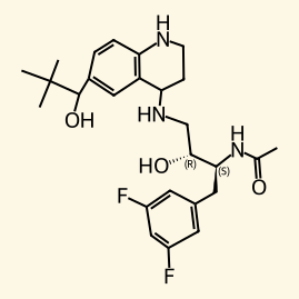 CC(=O)N[C@@H](Cc1cc(F)cc(F)c1)[C@H](O)CNC1CCNc2ccc(C(O)C(C)(C)C)cc21